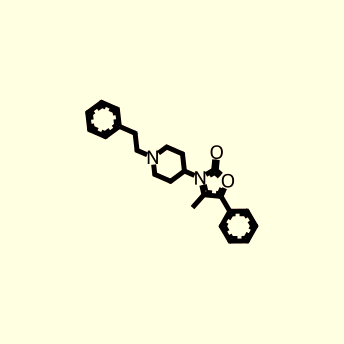 Cc1c(-c2ccccc2)oc(=O)n1C1CCN(CCc2ccccc2)CC1